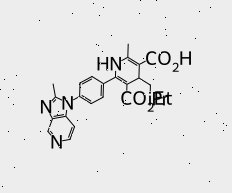 CCOC(=O)C1=C(c2ccc(-n3c(C)nc4cnccc43)cc2)NC(C)=C(C(=O)O)C1CC(C)C